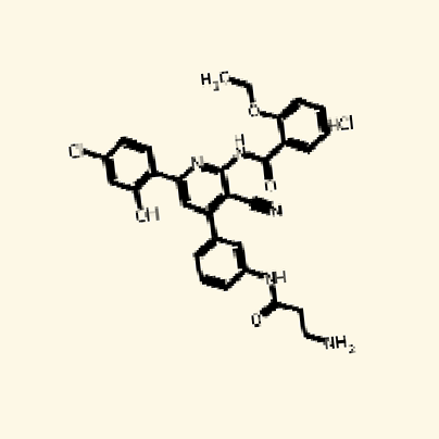 CCOc1ccccc1C(=O)Nc1nc(-c2ccc(Cl)cc2O)cc(-c2cccc(NC(=O)CCN)c2)c1C#N.Cl